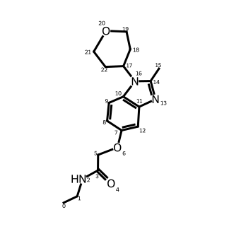 CCNC(=O)COc1ccc2c(c1)nc(C)n2C1CCOCC1